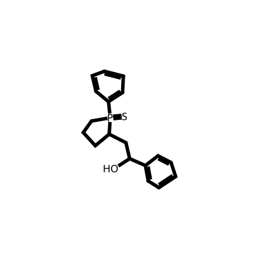 OC(CC1CCCP1(=S)c1ccccc1)c1ccccc1